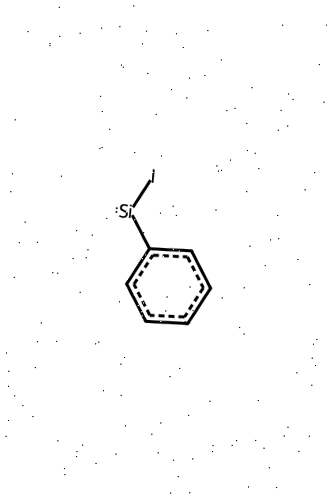 I[Si]c1ccccc1